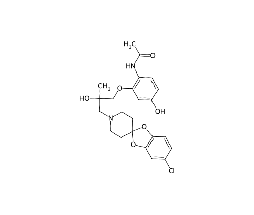 CC(=O)Nc1ccc(O)cc1OCC(C)(O)CN1CCC2(CC1)Oc1ccc(Cl)cc1O2